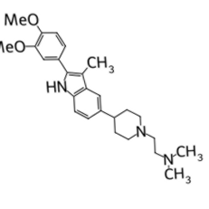 COc1ccc(-c2[nH]c3ccc(C4CCN(CCN(C)C)CC4)cc3c2C)cc1OC